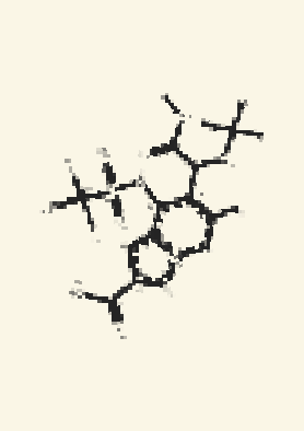 COC(=O)C(OC(C)(C)C)c1c(C)cn2nc(C(=O)O)cc2c1OS(=O)(=O)C(F)(F)F